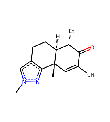 CC[C@@H]1C(=O)C(C#N)=C[C@]2(C)c3nn(C)cc3CC[C@@H]12